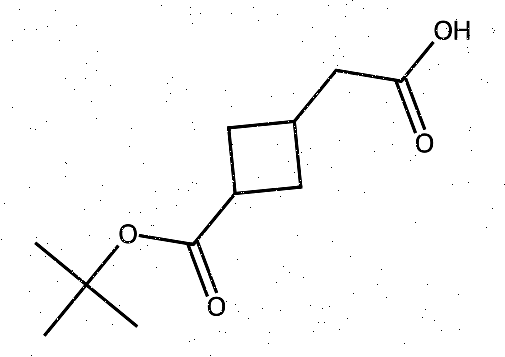 CC(C)(C)OC(=O)C1CC(CC(=O)O)C1